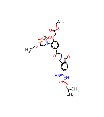 CCOC(=O)COc1ccc(C(=O)CN2Cc3cc(C(=N)NC(=O)OCC(C)C)ccc3C2=O)cc1N(CC(=O)OCC)S(C)(=O)=O